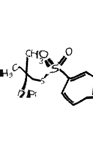 CCCC(C)(C)SS(=O)(=O)c1ccccc1